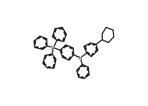 c1ccc(N(c2ccc(C3CCCCC3)cc2)c2ccc([Si](c3ccccc3)(c3ccccc3)c3ccccc3)cc2)cc1